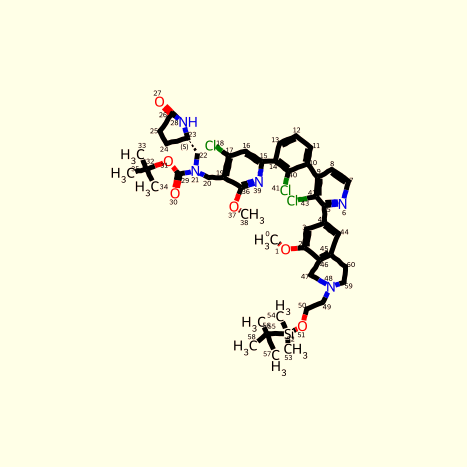 COc1cc(-c2nccc(-c3cccc(-c4cc(Cl)c(CN(C[C@@H]5CCC(=O)N5)C(=O)OC(C)(C)C)c(OC)n4)c3Cl)c2Cl)cc2c1CN(CCO[Si](C)(C)C(C)(C)C)CC2